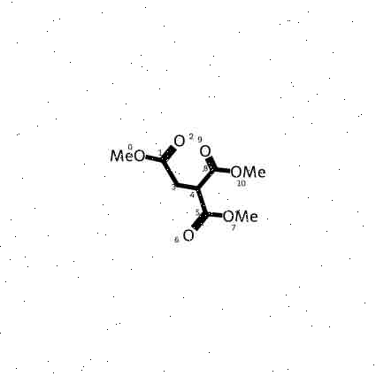 COC(=O)CC(C(=O)OC)C(=O)OC